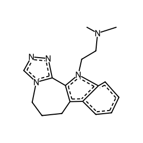 CN(C)CCn1c2c(c3ccccc31)CCCn1cnnc1-2